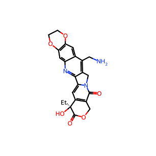 CC[C@@]1(O)C(=O)OCc2c1cc1n(c2=O)Cc2c-1nc1cc3c(cc1c2CN)OCCO3